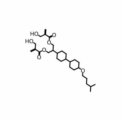 C=C(CO)C(=O)OCC(COC(=O)C(=C)CO)C1CCC(C2CCC(OCCCC(C)C)CC2)CC1